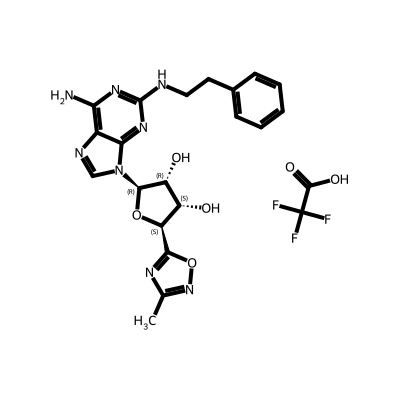 Cc1noc([C@H]2O[C@@H](n3cnc4c(N)nc(NCCc5ccccc5)nc43)[C@H](O)[C@@H]2O)n1.O=C(O)C(F)(F)F